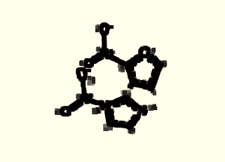 O=[N+]([O-])c1ccco1.O=[N+]([O-])n1ccnc1